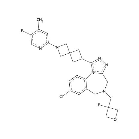 Cc1cc(N2CC3(CC(c4nnc5n4-c4ccc(Cl)cc4CN(CC4(F)COC4)C5)C3)C2)ncc1F